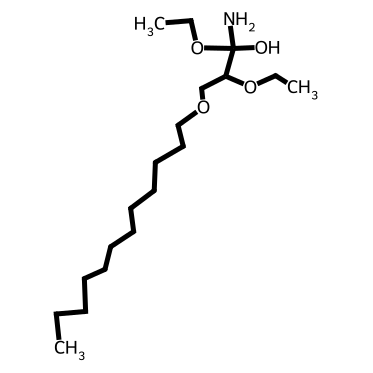 CCCCCCCCCCCCOCC(OCC)C(N)(O)OCC